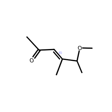 COC(C)/C(C)=C/C(C)=O